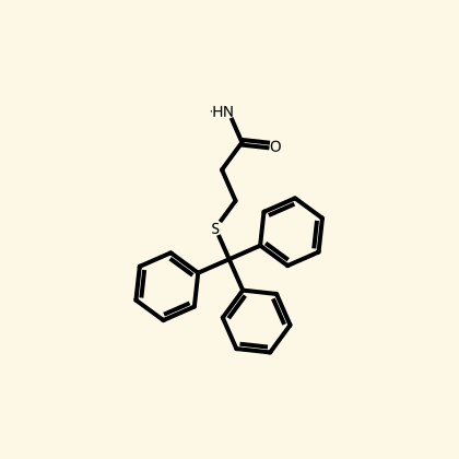 [NH]C(=O)CCSC(c1ccccc1)(c1ccccc1)c1ccccc1